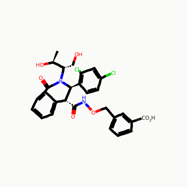 C[C@H](O)[C@H](CO)N1C(=O)c2ccccc2[C@@H](C(=O)NOCc2cccc(C(=O)O)c2)[C@@H]1c1ccc(Cl)cc1Cl